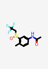 CC(=O)Nc1ccc(C)c([S+]([O-])CC(F)(F)F)c1